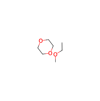 C1COCCO1.CCOC